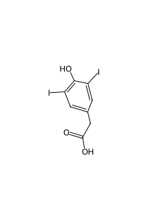 O=C(O)Cc1cc(I)c(O)c(I)c1